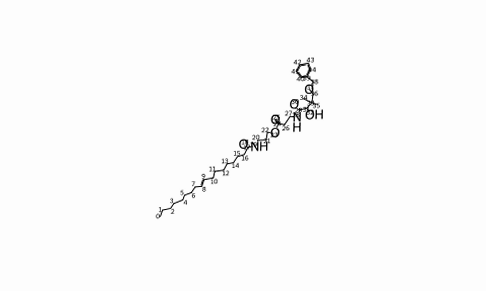 CCCCCCCCC=CCCCCCCCC(=O)NCCCOC(=O)CCNC(=O)C(O)C(C)(C)COCc1ccccc1